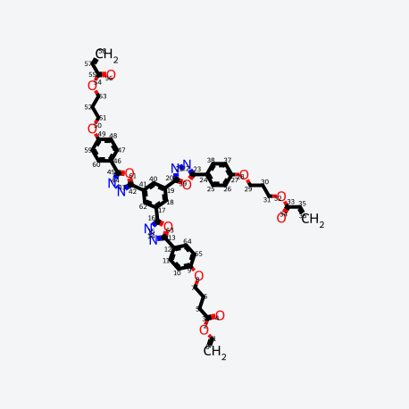 C=COC(=O)CCCOc1ccc(-c2nnc(-c3cc(-c4nnc(-c5ccc(OCCCOC(=O)C=C)cc5)o4)cc(-c4nnc(-c5ccc(OCCCOC(=O)C=C)cc5)o4)c3)o2)cc1